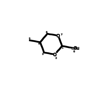 CCCCC1OCC(C)CO1